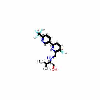 CC(C)[C@H](CO)NCc1nc(-c2ccc(C(F)(F)F)nc2)ccc1F